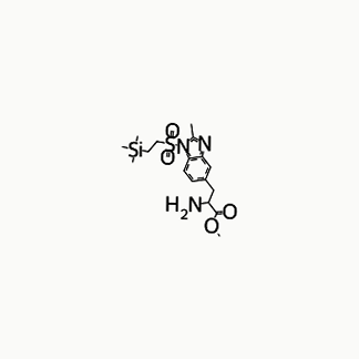 COC(=O)C(N)Cc1ccc2c(c1)nc(C)n2S(=O)(=O)CC[Si](C)(C)C